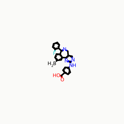 Bc1ccc2c(c1)-c1nc(Nc3ccc(C(=O)O)cc3)ncc1CN=C2c1ccccc1F